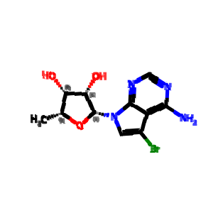 C[C@H]1O[C@@H](n2cc(Br)c3c(N)ncnc32)[C@@H](O)[C@H]1O